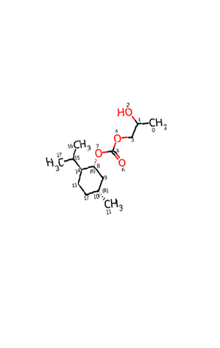 CC(O)COC(=O)O[C@@H]1C[C@H](C)CCC1C(C)C